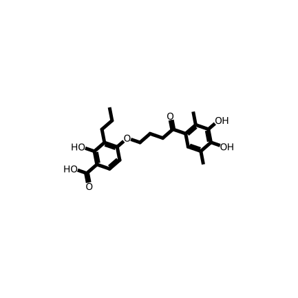 CCCc1c(OCCCC(=O)c2cc(C)c(O)c(O)c2C)ccc(C(=O)O)c1O